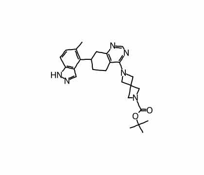 Cc1ccc2[nH]ncc2c1C1CCc2c(ncnc2N2CC3(CN(C(=O)OC(C)(C)C)C3)C2)C1